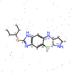 CCC(CC)Sc1nc2cc(Cl)c(NC3CCNC3)cc2[nH]1